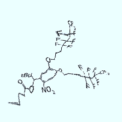 C=CCCC(=O)OC(c1cc(OCCCC(F)(F)C(F)(F)C(F)(F)C(F)(F)F)c(OCCCC(F)(F)C(F)(F)C(F)(F)C(F)(F)F)cc1[N+](=O)[O-])C(C)(C)C